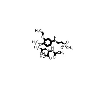 CC(=O)N[C@@H](CC(C)C)C(=O)O.CCOc1cc(NCCS(C)(=O)=O)ccc1OC